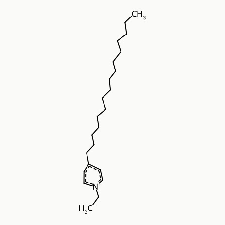 CCCCCCCCCCCCCCCCc1cc[n+](CC)cc1